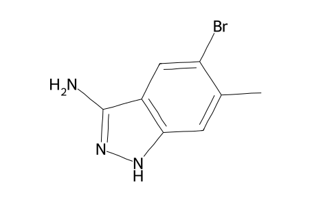 Cc1cc2[nH]nc(N)c2cc1Br